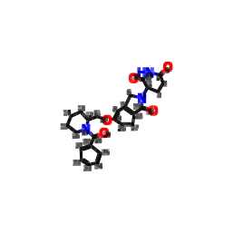 O=C1CCC(N2Cc3cc(OCC4CCCCN4C(=O)c4ccccc4)ccc3C2=O)C(=O)N1